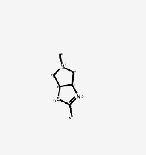 CC1=NC2CN(C)CC2S1